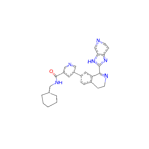 O=C(NCC1CCCCC1)c1cncc(-c2ccc3c(c2)C(c2nc4ccncc4[nH]2)=NCC3)c1